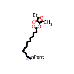 CCCCC/C=C\C/C=C\CCCCCCCC(=O)OC1=C(C)OC(CC)C1=O